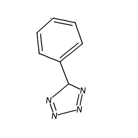 [c]1ccc(C2N=NN=N2)cc1